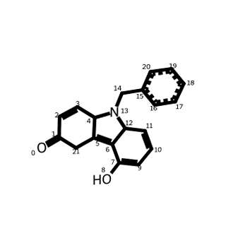 O=C1C=CC2C(=C3C(O)=CC=CC3N2Cc2ccccc2)C1